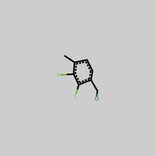 Cc1ccc(CCl)c(F)c1F